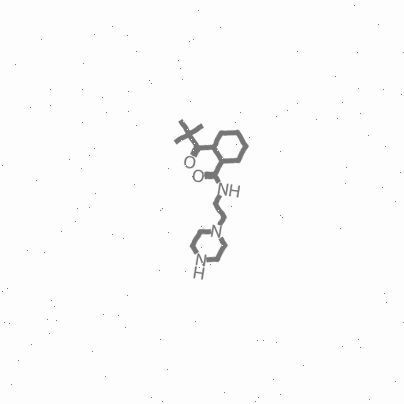 CC(C)(C)C(=O)C1CCCCC1C(=O)NCCN1CCNCC1